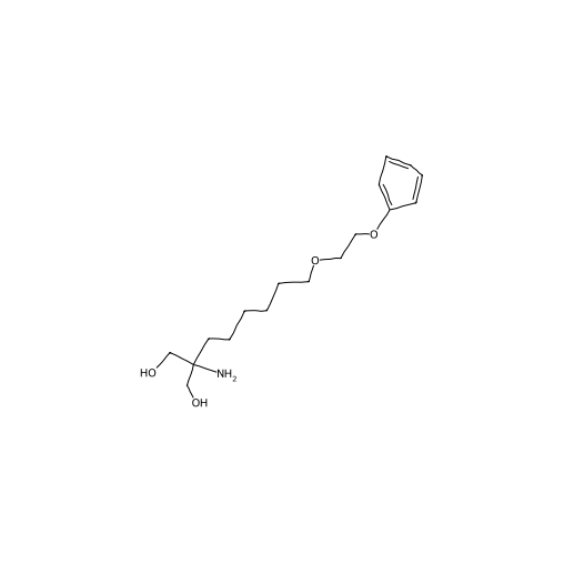 NC(CO)(CO)CCCCCCOCCOc1ccccc1